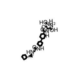 N[C@@H](O)[C@H](NC(=O)c1ccc(-c2ccc(NC(=O)CN[C@H]3C[C@@H]3c3ccccc3)cc2)cc1)C(=O)NO